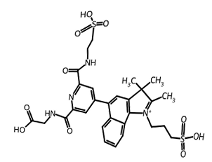 CC1=[N+](CCCS(=O)(=O)O)c2c(cc(-c3cc(C(=O)NCCS(=O)(=O)O)nc(C(=O)NCC(=O)O)c3)c3ccccc23)C1(C)C